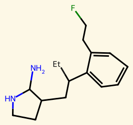 CCC(CC1CCNC1N)c1ccccc1CCF